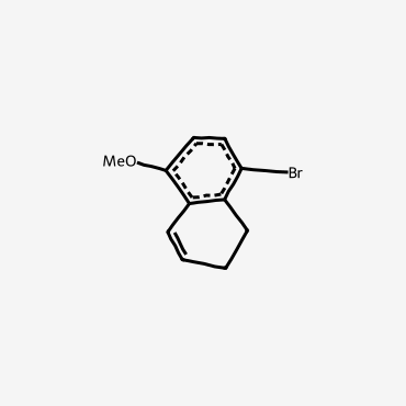 COc1ccc(Br)c2c1C=CCC2